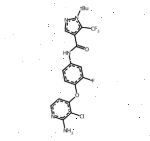 CC(C)(C)n1ncc(C(=O)Nc2ccc(Oc3ccnc(N)c3Cl)c(F)c2)c1C(F)(F)F